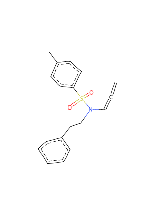 C=C=CN(CCc1ccccc1)S(=O)(=O)c1ccc(C)cc1